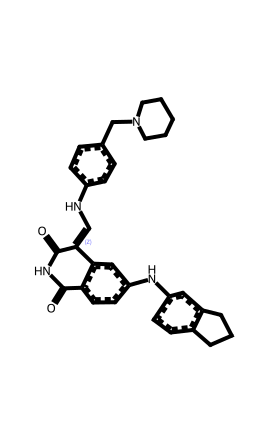 O=C1NC(=O)c2ccc(Nc3ccc4c(c3)CCC4)cc2/C1=C/Nc1ccc(CN2CCCCC2)cc1